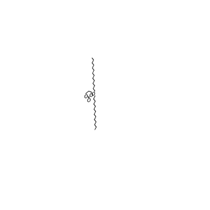 CCCCCCCCCCCCCCOCCCCCCCCCCCCCC.O=C1OCCCO1